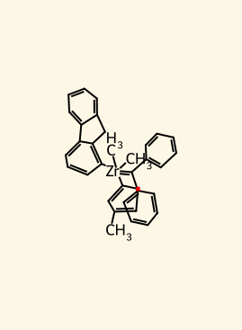 CC1=CC[C]([Zr]([CH3])([CH3])(=[C](c2ccccc2)c2ccccc2)[c]2cccc3c2Cc2ccccc2-3)=C1